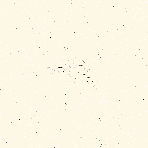 CC(C)(C)c1ccc(C(=O)Nc2cccc(-c3nc(N)nc(Nc4ccc(N5CCOCC5)cc4)n3)c2CO)cc1